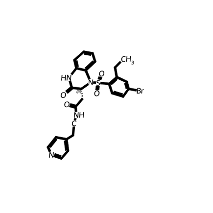 CCc1cc(Br)ccc1S(=O)(=O)N1c2ccccc2NC(=O)[C@H]1CC(=O)NCCc1ccncc1